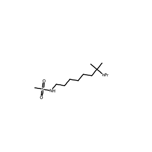 CCCC(C)(C)CCCCCCNS(C)(=O)=O